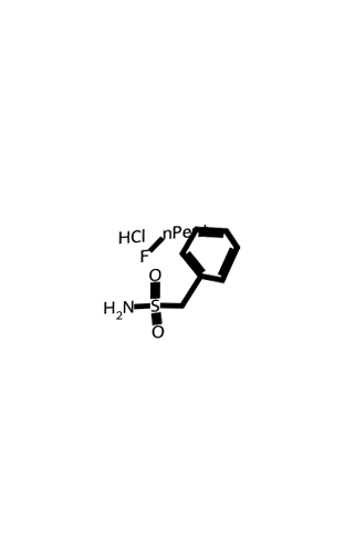 CCCCCF.Cl.NS(=O)(=O)Cc1ccccc1